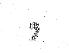 N#C/C(NN)=C(/N)c1cccc(OCc2csc(-c3ccc(Cl)cc3)n2)c1